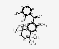 Cc1cc2c(cc1C(=O)c1cccc(F)c1F)C(C)(C)CCC2(C)C